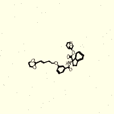 O=C(N[C@]1(C(=O)OC2CN3CCC2CC3)CCc2ccccc21)c1cccc(OCCCCC2OCCO2)c1